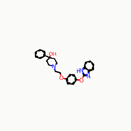 OC1(c2ccccc2)CCN(CCOc2ccc(Oc3nc4ccccc4[nH]3)cc2)CC1